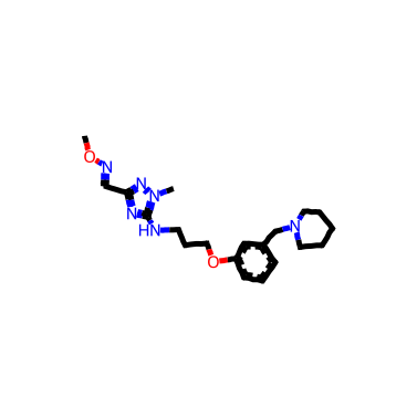 CO/N=C/c1nc(NCCCOc2cccc(CN3CCCCC3)c2)n(C)n1